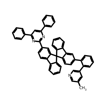 Cc1cncc(-c2ccccc2-c2ccc3c(c2)-c2ccccc2C32c3ccccc3-c3ccc(-c4nc(-c5ccccc5)cc(-c5ccccc5)n4)cc32)c1